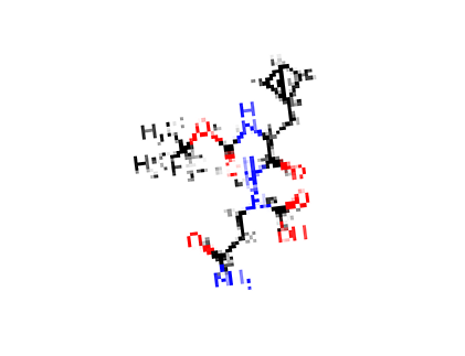 CC(C)(C)OC(=O)N[C@@H](CC12CC(C1)C2)C(=O)NN(CCC(N)=O)C(=O)O